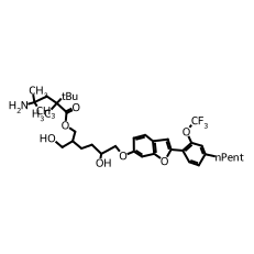 CCCCCc1ccc(-c2cc3ccc(OCC(O)CCC(CO)COC(=O)C(C)(CC(C)(C)N)C(C)(C)C)cc3o2)c(OC(F)(F)F)c1